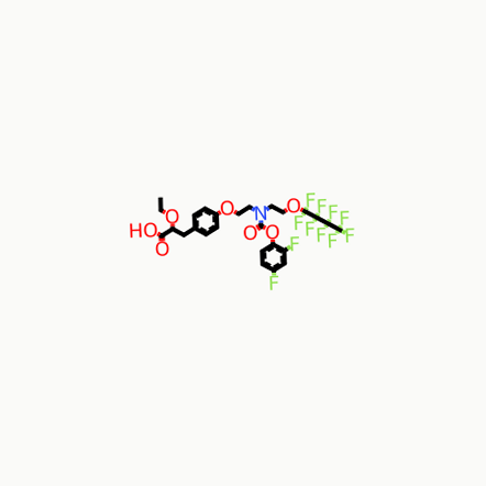 CCOC(Cc1ccc(OCCN(CCOC(F)(F)C(F)(F)C(F)(F)C(F)(F)F)C(=O)Oc2ccc(F)cc2F)cc1)C(=O)O